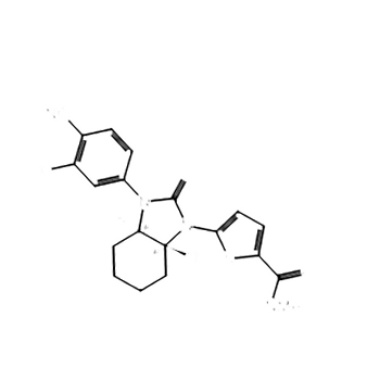 CNC(=O)c1ccc(N2C(=O)N(c3ccc(C#N)c(C(F)(F)F)c3)[C@@H]3CCCC[C@H]32)s1